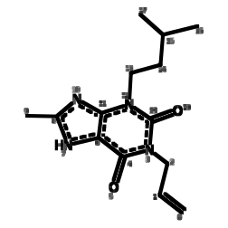 C=CCn1c(=O)c2[nH]c(C)nc2n(CCC(C)C)c1=O